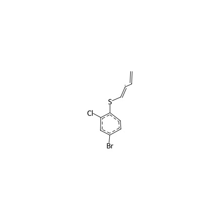 C=C[C]=CSc1ccc(Br)cc1Cl